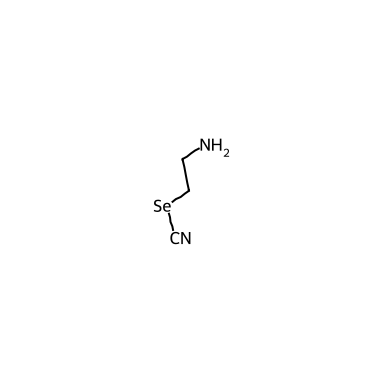 N#C[Se]CCN